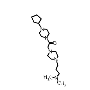 CN(C)CCCN1CCN(CC(=O)N2CCN(C3CCCC3)CC2)CC1